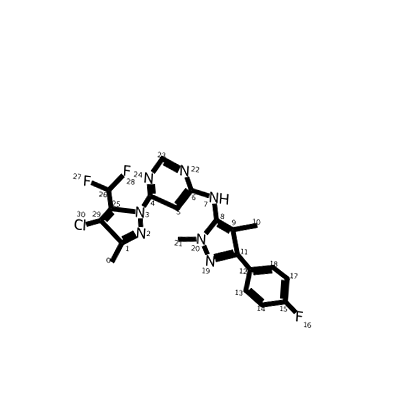 Cc1nn(-c2cc(Nc3c(C)c(-c4ccc(F)cc4)nn3C)ncn2)c(C(F)F)c1Cl